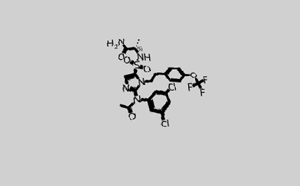 CC(=O)N(c1cc(Cl)cc(Cl)c1)c1ncc(S(=O)(=O)N[C@@H](C)C(N)=O)n1CCc1ccc(OC(F)(F)F)cc1